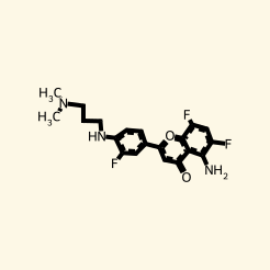 CN(C)CCCNc1ccc(-c2cc(=O)c3c(N)c(F)cc(F)c3o2)cc1F